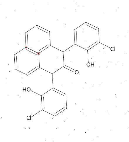 O=C(C(c1ccccc1)c1cccc(Cl)c1O)C(c1ccccc1)c1cccc(Cl)c1O